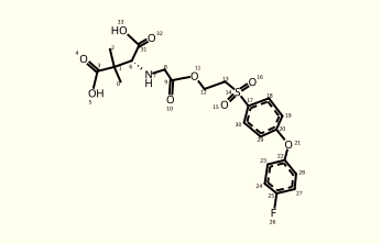 CC(C)(C(=O)O)[C@@H](NCC(=O)OCCS(=O)(=O)c1ccc(Oc2ccc(F)cc2)cc1)C(=O)O